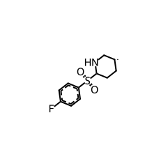 O=S(=O)(c1ccc(F)cc1)C1CC[CH]CN1